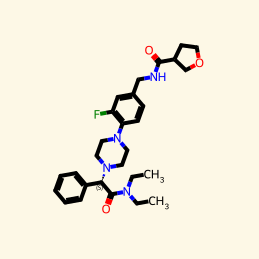 CCN(CC)C(=O)[C@H](c1ccccc1)N1CCN(c2ccc(CNC(=O)C3CCOC3)cc2F)CC1